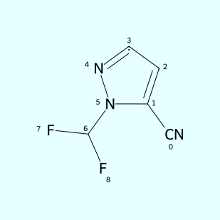 N#Cc1c[c]nn1C(F)F